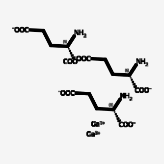 N[C@@H](CCC(=O)[O-])C(=O)[O-].N[C@@H](CCC(=O)[O-])C(=O)[O-].N[C@@H](CCC(=O)[O-])C(=O)[O-].[Ga+3].[Ga+3]